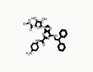 CCNC(=O)[C@H]1O[C@@H](n2cnc3c(NCC(c4ccccc4)c4ccccc4)nc(C(=O)NC4CCC(N)CC4)nc32)[C@H](O)[C@@H]1O